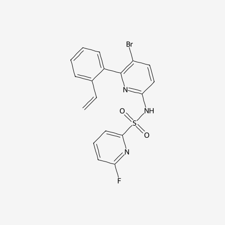 C=Cc1ccccc1-c1nc(NS(=O)(=O)c2cccc(F)n2)ccc1Br